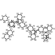 c1ccc(-c2nc(-c3ccc4ccccc4c3)nc(-n3c4ccccc4c4cc(-c5ccc6c(c5)c5ccccc5n6-c5ccc6c(c5)C5(c7ccccc7-6)C6CC7CC5C5C(C6)C75)ccc43)n2)cc1